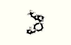 FC(F)(F)Cc1cc2c(N3CCCCN(Cc4ccc[nH]4)CCC3)ncnc2s1